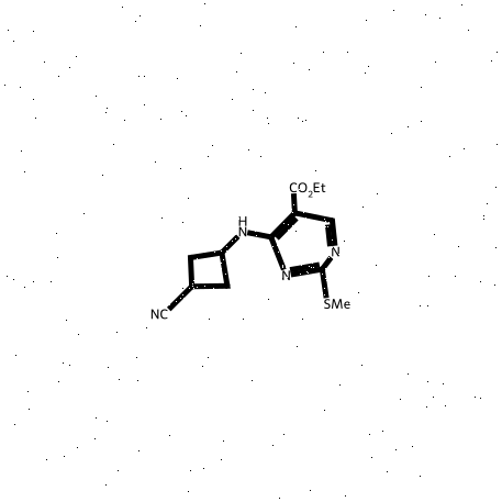 CCOC(=O)c1cnc(SC)nc1NC1CC(C#N)C1